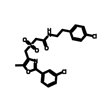 Cc1oc(-c2cccc(Cl)c2)nc1CS(=O)(=O)CC(=O)NCCc1ccc(Cl)cc1